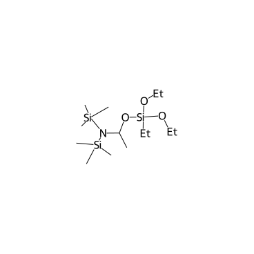 CCO[Si](CC)(OCC)OC(C)N([Si](C)(C)C)[Si](C)(C)C